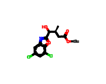 C[C@@H](CC(=O)OC(C)(C)C)C(O)c1nc2cc(Cl)cc(Cl)c2o1